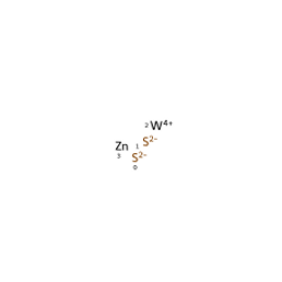 [S-2].[S-2].[W+4].[Zn]